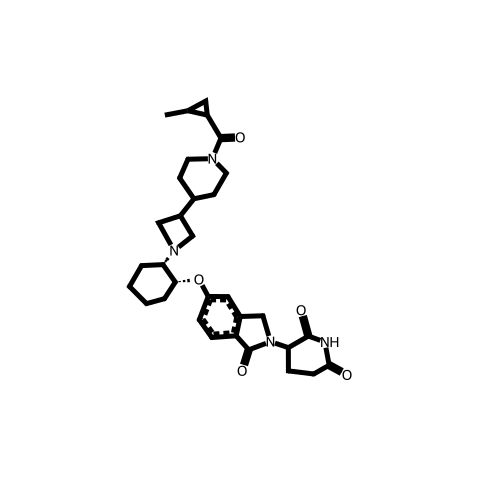 CC1CC1C(=O)N1CCC(C2CN([C@H]3CCCC[C@H]3Oc3ccc4c(c3)CN(C3CCC(=O)NC3=O)C4=O)C2)CC1